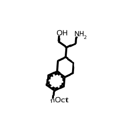 CCCCCCCCc1ccc2c(c1)CCC(C(CN)CO)C2